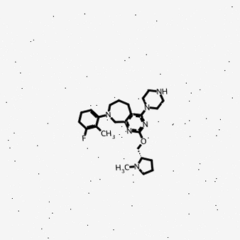 CC1=C(F)CCC=C1N1CCCc2c(nc(OC[C@@H]3CCCN3C)nc2N2CCNCC2)C1